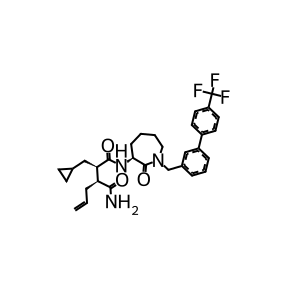 C=CC[C@H](C(N)=O)[C@@H](CC1CC1)C(=O)N[C@H]1CCCCN(Cc2cccc(-c3ccc(C(F)(F)F)cc3)c2)C1=O